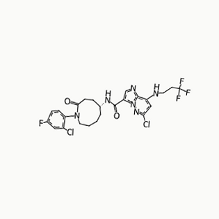 O=C(N[C@@H]1CCCCN(c2ccc(F)cc2Cl)C(=O)CC1)c1cnc2c(NCCC(F)(F)F)cc(Cl)nn12